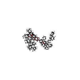 c1ccc(-c2ccc(N(c3ccccc3-c3cccc4c3sc3ccccc34)c3c(-c4cccc5cc(-c6ccc(-c7ccc(N(c8ccc(-c9cccc%10c9sc9ccccc9%10)cc8)c8c(-c9ccc%10ccccc%10c9)c9ccccc9c9ccccc89)cc7)c(-c7ccccc7)c6)ccc45)c4ccccc4c4ccccc34)cc2-c2ccccc2)cc1